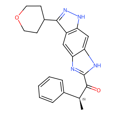 C[C@H](C(=O)c1nc2cc3c(C4CCOCC4)n[nH]c3cc2[nH]1)c1ccccc1